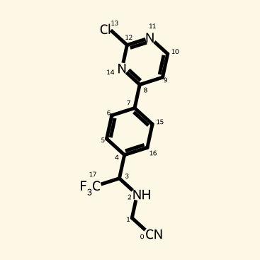 N#CCNC(c1ccc(-c2ccnc(Cl)n2)cc1)C(F)(F)F